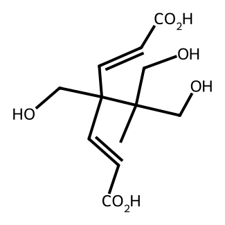 CC(CO)(CO)C(C=CC(=O)O)(C=CC(=O)O)CO